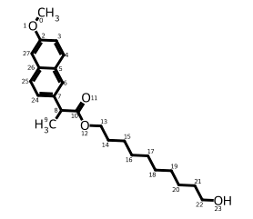 COc1ccc2cc(C(C)C(=O)OCCCCCCCCCCO)ccc2c1